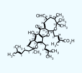 CC(C)=CCC[C@@]1(C)C=Cc2c(O)c3c(c(CC=C(C)C)c2O1)OC1/C(=C\C(C=O)CC(C)C(C)(C)OC1C/C=C(\C)C(=O)O)C3=O